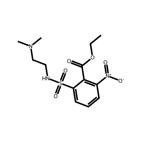 CCOC(=O)c1c([N+](=O)[O-])cccc1S(=O)(=O)NCCN(C)C